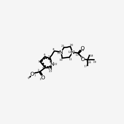 COC(=O)c1ccc(CN2CCN(C(=O)OC(C)(C)C)CC2)nn1